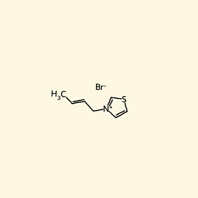 CC=CC[n+]1ccsc1.[Br-]